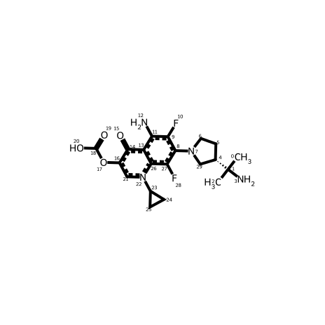 CC(C)(N)[C@H]1CCN(c2c(F)c(N)c3c(=O)c(OC(=O)O)cn(C4CC4)c3c2F)C1